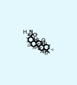 C[C@H]1CC[C@]2(C)[C@H]3C(=O)C=C4[C@@H]5C[C@@](C)(C(N)=O)CC[C@]5(C)CC[C@@]4(C)[C@]3(C)CC[C@@]2(I)C1(C)C